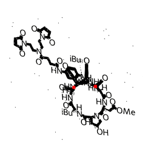 CCC(C)[C@@H]1NC(=O)[C@@H]2C[C@@H](O)CN2C(=O)[C@H](CC(=O)OC)NC(=O)[C@@H]2CSc3[nH]c4ccc(NC(=O)CCC(=O)N(CCN5C(=O)C=CC5=O)CCN5C(=O)C=CC5=O)cc4c3C[C@H](NC1=O)C(=O)NCC(=O)N[C@@H]([C@@H](C)CC)C(=O)NCC(=O)N2